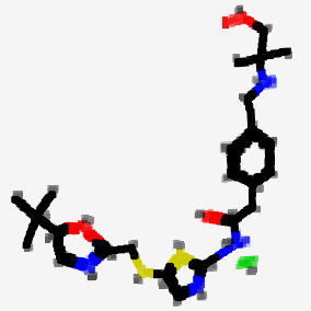 CC(C)(CO)NCc1ccc(CC(=O)Nc2ncc(SCc3ncc(C(C)(C)C)o3)s2)cc1.Cl